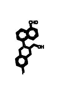 O=Cc1cccc2c(N3Cc4ccc(F)cc4CC3CO)cccc12